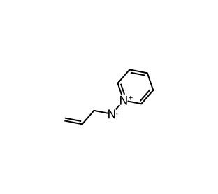 C=CC[N][n+]1ccccc1